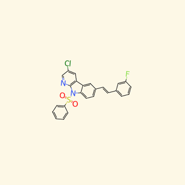 O=S(=O)(c1ccccc1)n1c2ccc(C=Cc3cccc(F)c3)cc2c2cc(Cl)cnc21